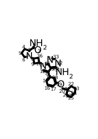 NC(=O)C1CCCN1C1CC(n2cc(-c3cccc(OCC45CCC(CC4)O5)c3)c3c(N)ncnc32)C1